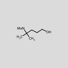 CNC(C)(C)CCCO